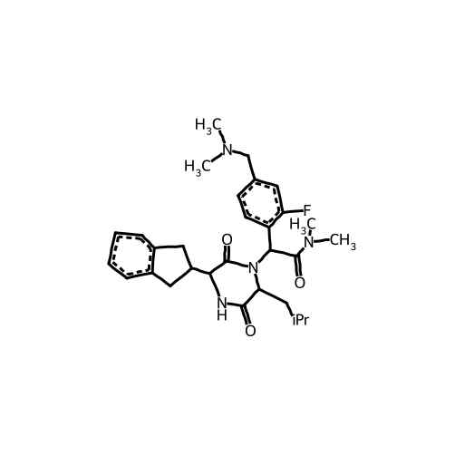 CC(C)CC1C(=O)NC(C2Cc3ccccc3C2)C(=O)N1C(C(=O)N(C)C)c1ccc(CN(C)C)cc1F